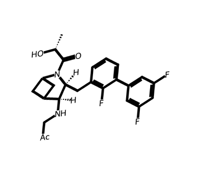 CC(=O)CN[C@H]1C2CC(C2)N(C(=O)[C@@H](C)O)[C@H]1Cc1cccc(-c2cc(F)cc(F)c2)c1F